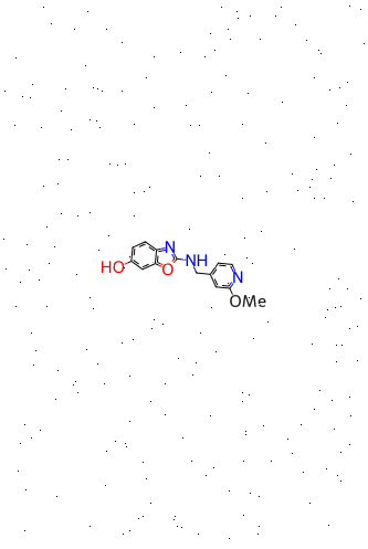 COc1cc(CNc2nc3ccc(O)cc3o2)ccn1